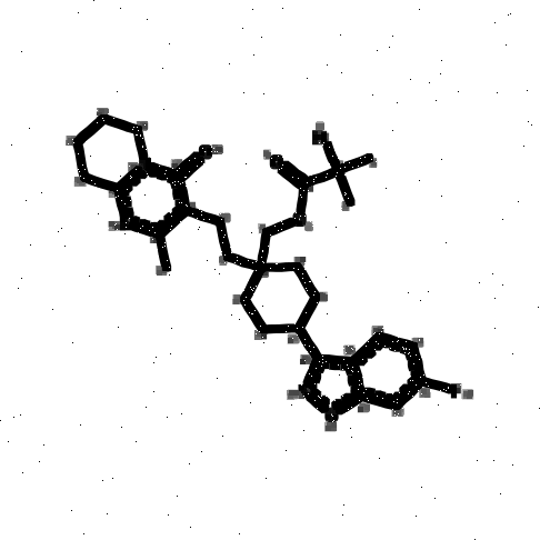 CCC(C)(C)C(=O)OCC1(CCc2c(C)nc3n(c2=O)CCCC3)CCC(c2noc3cc(F)ccc23)CC1